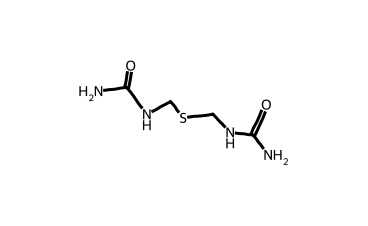 NC(=O)NCSCNC(N)=O